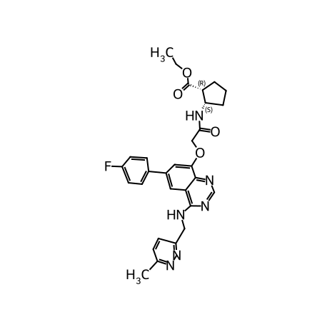 CCOC(=O)[C@@H]1CCC[C@@H]1NC(=O)COc1cc(-c2ccc(F)cc2)cc2c(NCc3ccc(C)nn3)ncnc12